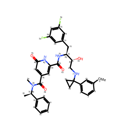 COc1cccc(C2(NC[C@@H](O)[C@H](Cc3cc(F)cc(F)c3)NC(=O)c3cc(C(=O)N(C)[C@H](C)c4ccccc4)cc(=O)[nH]3)CC2)c1